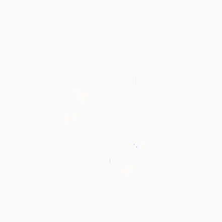 Cc1cc(C(=O)OCC2(c3ccc(Cl)cc3)CCCC2)ccc1N1C(=O)CSC1c1ccc(F)cc1